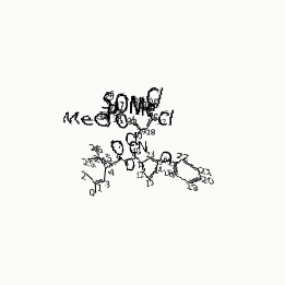 CC(C)=CC1C(C(=O)OC(C#N)c2cccc(Oc3ccccc3)c2)C1(C)C.COP(=S)(OC)Oc1nc(Cl)c(Cl)cc1Cl